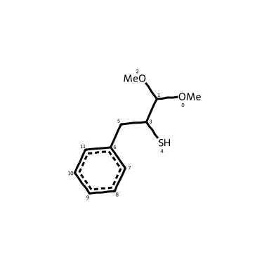 COC(OC)C(S)Cc1ccccc1